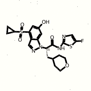 O=C(Nc1ncc(F)s1)[C@H](CC1CCOCC1)n1ncc2c(S(=O)(=O)C3CC3)cc(O)cc21